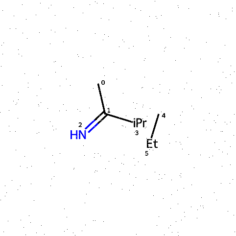 CC(=N)C(C)C.CCC